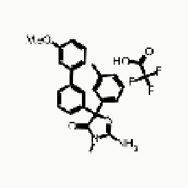 COc1cccc(-c2cccc(C3(c4cccc(C)c4)N=C(N)N(C)C3=O)c2)c1.O=C(O)C(F)(F)F